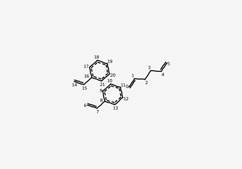 C=CCCC=C.C=Cc1ccccc1.C=Cc1ccccc1